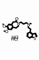 COc1cc2c(cc1OC)CC(=O)N(CCCN(C)CCc1cccc3sccc13)CC2.Cl.Cl